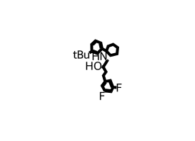 CC(C)(C)c1cccc(C2(NCC(O)CCc3cc(F)cc(F)c3)CCCCC2)c1